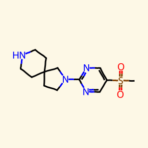 CS(=O)(=O)c1cnc(N2CCC3(CCNCC3)C2)nc1